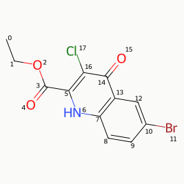 CCOC(=O)c1[nH]c2ccc(Br)cc2c(=O)c1Cl